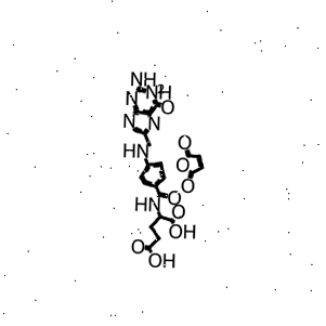 Nc1nc2ncc(CNc3ccc(C(=O)NC(CCC(=O)O)C(=O)O)cc3)nc2c(=O)[nH]1.O=C1C=CC(=O)O1